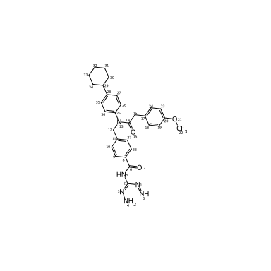 N=N/C(=N\N)NC(=O)c1ccc(CN(C(=O)Cc2ccc(OC(F)(F)F)cc2)c2ccc(C3CCCCC3)cc2)cc1